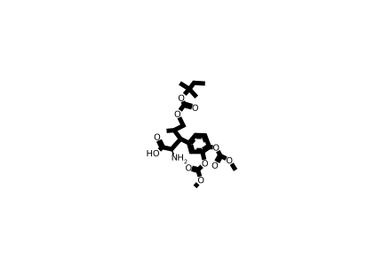 CCC(C)(C)OC(=O)OCC(C)C(c1ccc(OC(=O)OC)c(OC(=O)OC)c1)[C@H](N)C(=O)O